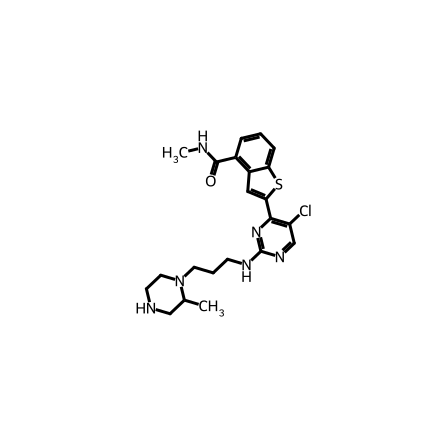 CNC(=O)c1cccc2sc(-c3nc(NCCCN4CCNCC4C)ncc3Cl)cc12